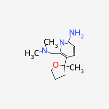 CN(C)Cc1nc(N)ccc1C1(C)CCCO1